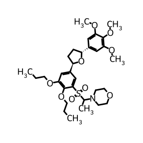 CCCOc1cc([C@H]2CC[C@H](c3cc(OC)c(OC)c(OC)c3)O2)cc(S(=O)(=O)C(C)N2CCOCC2)c1OCCC